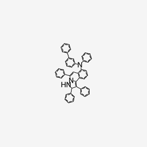 C1=C(c2ccccc2)N2NC(c3ccccc3)C(c3ccccc3)=C2c2cccc(N(c3ccccc3)c3cccc(-c4ccccc4)c3)c21